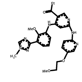 CCC(=O)c1cnc(Nc2ccc(OCCOC)cn2)cc1Nc1cccc(-c2ncn(C)n2)c1OC